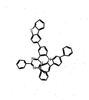 c1ccc(-c2ccc3c4ccccc4n(-c4ccc(-c5ccc6sc7ccccc7c6c5)cc4-c4nc(-c5ccccc5)nc(-c5ccccc5)n4)c3c2)cc1